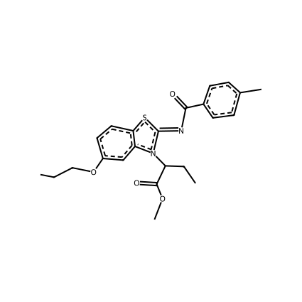 CCCOc1ccc2sc(=NC(=O)c3ccc(C)cc3)n(C(CC)C(=O)OC)c2c1